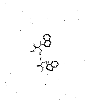 COC(=O)[C@H](CSSC[C@H](Nc1cccc2ccccc12)C(=O)OC)Nc1cccc2ccccc12